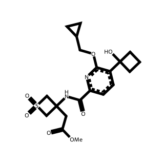 COC(=O)CC1(NC(=O)c2ccc(C3(O)CCC3)c(OCC3CC3)n2)CS(=O)(=O)C1